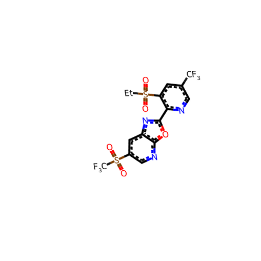 CCS(=O)(=O)c1cc(C(F)(F)F)cnc1-c1nc2cc(S(=O)(=O)C(F)(F)F)cnc2o1